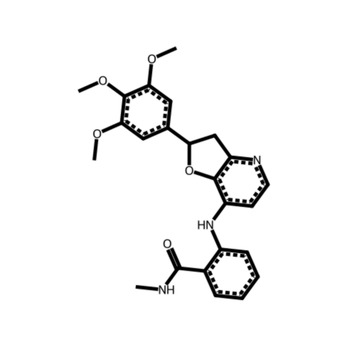 CNC(=O)c1ccccc1Nc1ccnc2c1OC(c1cc(OC)c(OC)c(OC)c1)C2